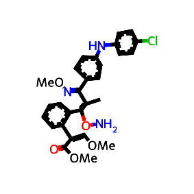 COC=C(C(=O)OC)c1ccccc1C(ON)=C(C)C(=NOC)c1ccc(Nc2ccc(Cl)cc2)cc1